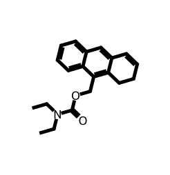 CCN(CC)C(=O)OCc1c2c(cc3ccccc13)C=CCC2